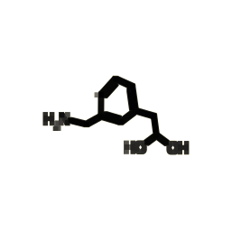 NCc1[c]ccc(CC(O)O)c1